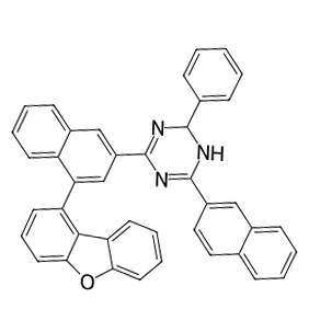 c1ccc(C2N=C(c3cc(-c4cccc5oc6ccccc6c45)c4ccccc4c3)N=C(c3ccc4ccccc4c3)N2)cc1